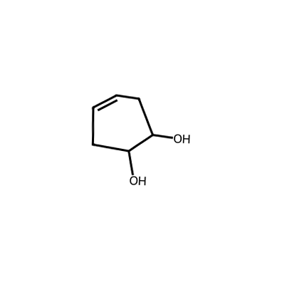 OC1CC=CCC1O